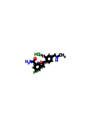 Cl.[2H]c1cc(CNC)ccc1-c1cc2cc(F)cc(C(N)=O)c2o1